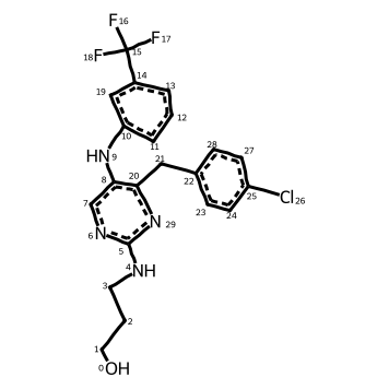 OCCCNc1ncc(Nc2cccc(C(F)(F)F)c2)c(Cc2ccc(Cl)cc2)n1